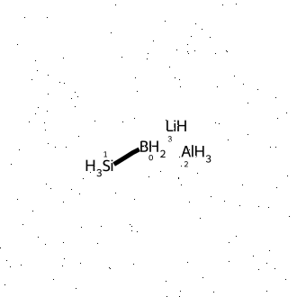 B[SiH3].[AlH3].[LiH]